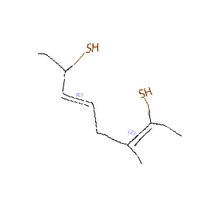 C/C(S)=C(\C)C/C=C/C(C)S